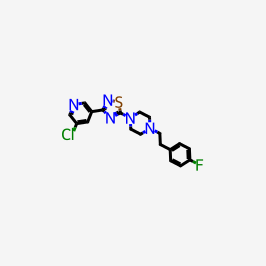 Fc1ccc(CCN2CCN(c3nc(-c4cncc(Cl)c4)ns3)CC2)cc1